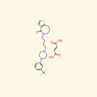 O=C(O)/C=C/C(=O)O.O=C1c2ccsc2CCCN1CCCCN1CCN(c2cccc(C(F)(F)F)c2)CC1